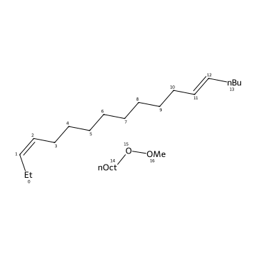 CC/C=C\CCCCCCCC/C=C/CCCC.CCCCCCCCOOC